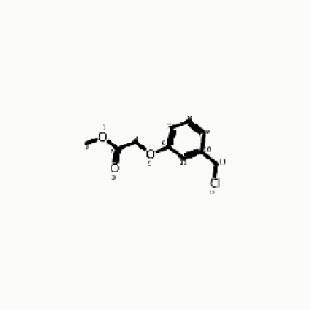 COC(=O)COc1cccc(CCl)c1